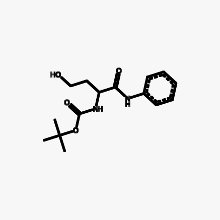 CC(C)(C)OC(=O)NC(CCO)C(=O)Nc1ccccc1